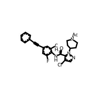 CC(=O)N1CCC(n2ncc(Cl)c2C(=O)Nc2c(C)cc(C#Cc3ccccc3)cc2F)CC1